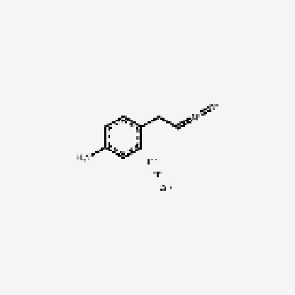 [Cl-].[Cl-].[N-]=[N+]=CCc1ccc(N)cc1.[Zn+2]